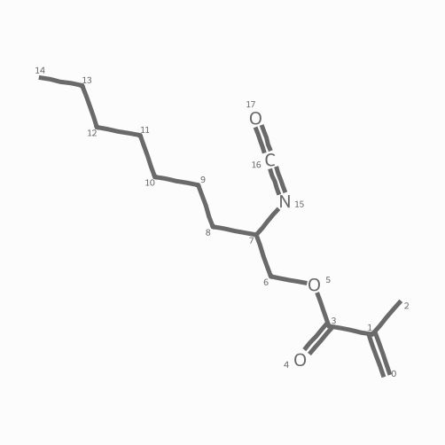 C=C(C)C(=O)OCC(CCCCCCC)N=C=O